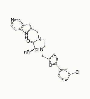 CCC[C@H]1C(=O)N(Cc2cc3cnccc3[nH]2)CCN1Cc1ccc(-c2cccc(Cl)c2)o1